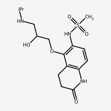 CC(C)NCC(O)COc1c(NS(C)(=O)=O)ccc2c1CCC(=O)N2